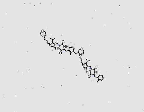 Cc1ccccc1/C=c1\[nH]c(=O)/c(=C/c2ncn(CCCN3CCOCC3Cc3cccc(/C=c4\[nH]c(=O)/c(=C/c5ncn(CCCN6CCOCC6)c5C(C)C)[nH]c4=O)c3C)c2C(C)C)[nH]c1=O